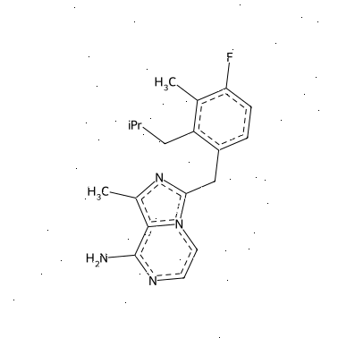 Cc1c(F)ccc(Cc2nc(C)c3c(N)nccn23)c1CC(C)C